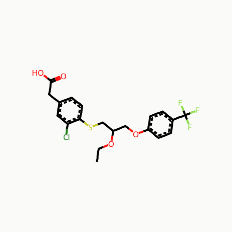 CCOC(COc1ccc(C(F)(F)F)cc1)CSc1ccc(CC(=O)O)cc1Cl